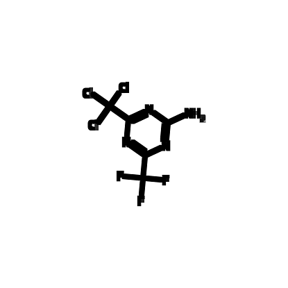 Nc1nc(C(F)(F)F)nc(C(Cl)(Cl)Cl)n1